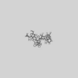 CCCCC(NC(=O)[C@@H]1[C@@H]2[C@H](CN1C(=O)[C@@H](NC(=O)NC1(CS(=O)(=O)C(C)(C)C)CCCCC1)C(C)(C)C)C2(Cl)Cl)C(=O)C(=O)NC1CC1